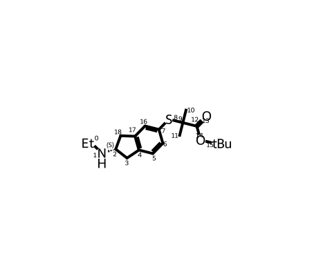 CCN[C@H]1Cc2ccc(SC(C)(C)C(=O)OC(C)(C)C)cc2C1